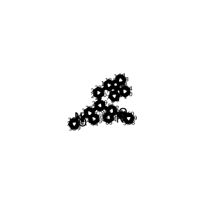 c1ccc(C2(c3ccccc3)c3ccccc3-c3ccc(-c4cccc(-c5cc(-c6ccc(-c7nc8ccccc8o7)c7ccccc67)cc(-c6ccc(-c7nc8ccccc8o7)c7ccccc67)c5)c4)cc32)cc1